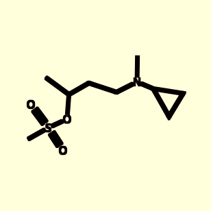 CC(CCN(C)C1CC1)OS(C)(=O)=O